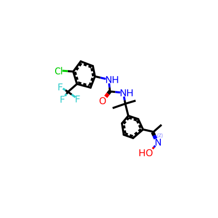 C/C(=N/O)c1cccc(C(C)(C)NC(=O)Nc2ccc(Cl)c(C(F)(F)F)c2)c1